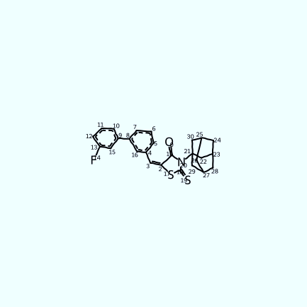 O=C1/C(=C\c2cccc(-c3cccc(F)c3)c2)SC(=S)N1C12CC3CC(CC(C3)C1)C2